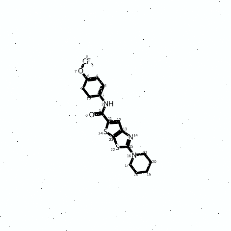 O=C(NC1=CC=C(OC(F)(F)F)CC1)c1cc2nc(N3CCCCC3)sc2s1